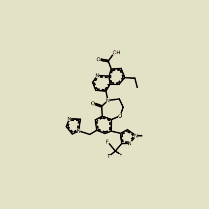 CCc1cc(C(=O)O)c2nccc(N3CCOc4c(cc(Cn5ccnc5)cc4-c4cn(C)nc4C(F)(F)F)C3=O)c2c1